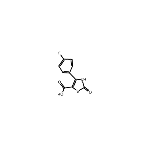 O=C(O)c1sc(=O)[nH]c1-c1ccc(F)cc1